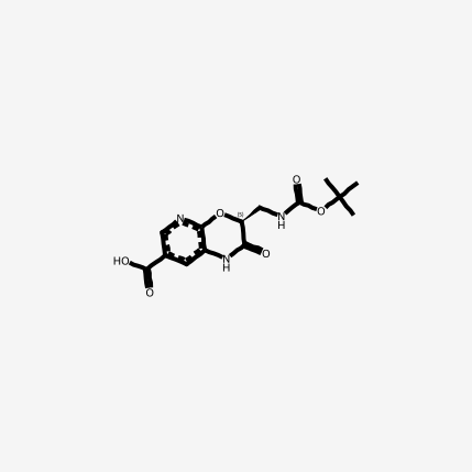 CC(C)(C)OC(=O)NC[C@@H]1Oc2ncc(C(=O)O)cc2NC1=O